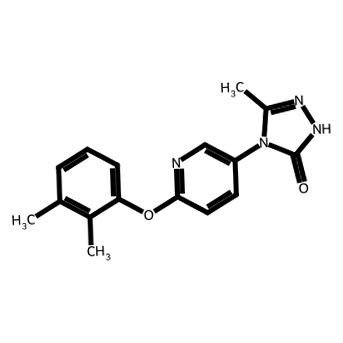 Cc1cccc(Oc2ccc(-n3c(C)n[nH]c3=O)cn2)c1C